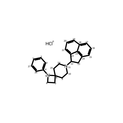 Cl.c1ccc(N2CCC23CCN(C2Cc4cccc5cccc2c45)CC3)cc1